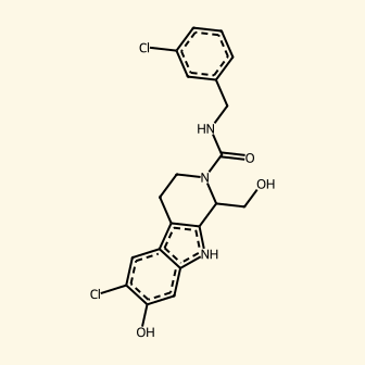 O=C(NCc1cccc(Cl)c1)N1CCc2c([nH]c3cc(O)c(Cl)cc23)C1CO